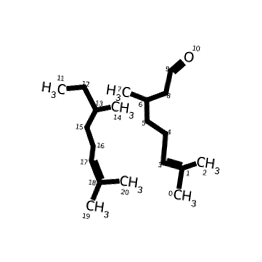 CC(C)=CCCC(C)CC=O.CCC(C)CCC=C(C)C